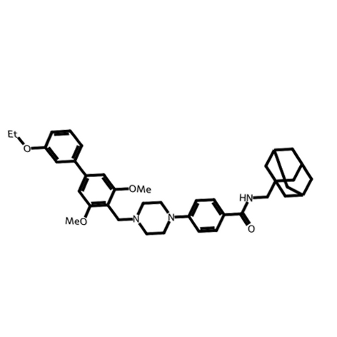 CCOc1cccc(-c2cc(OC)c(CN3CCN(c4ccc(C(=O)NCC56CC7CC(CC(C7)C5)C6)cc4)CC3)c(OC)c2)c1